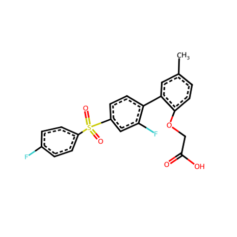 Cc1ccc(OCC(=O)O)c(-c2ccc(S(=O)(=O)c3ccc(F)cc3)cc2F)c1